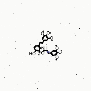 COc1cc(C=Cc2ccc(O)c(OC)c2NC(=O)/C=C/c2cc(OC)c(OC)c(OC)c2)cc(OC)c1OC